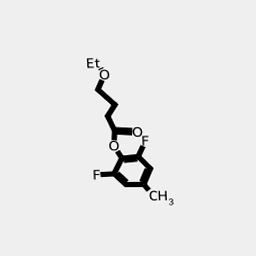 CCOCCCC(=O)Oc1c(F)cc(C)cc1F